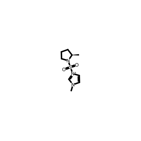 C[C@@H]1CCCN1S(=O)(=O)[n+]1ccn(C)c1